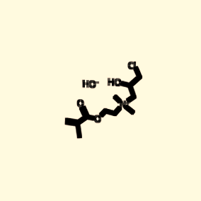 C=C(C)C(=O)OCC[N+](C)(C)CC(O)CCl.[OH-]